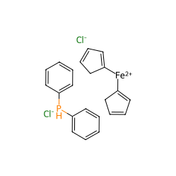 C1=CC[C]([Fe+2][C]2=CC=CC2)=C1.[Cl-].[Cl-].c1ccc(Pc2ccccc2)cc1